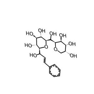 OC(C=Cc1ccccc1)[C@@H]1O[C@H](C(O)[C@@H]2OC[C@@H](O)[C@@H](O)[C@@H]2O)[C@@H](O)[C@H](O)[C@H]1O